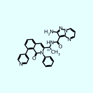 C[C@H](NC(=O)c1c(N)nn2cccnc12)c1cc2cccc(-c3ccncc3)c2c(=O)n1-c1ccccc1